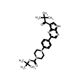 CC(C)(C)OC(=O)N1CCN(c2ccc(-c3cnc4[nH]cc(C(=O)C(C)(C)C)c4n3)cc2)CC1